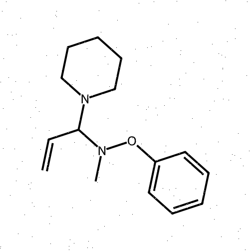 C=CC(N1CCCCC1)N(C)Oc1ccccc1